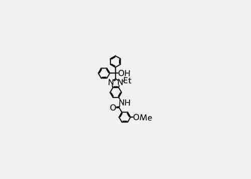 CCn1c(C(O)(c2ccccc2)c2ccccc2)nc2ccc(NC(=O)c3cccc(OC)c3)cc21